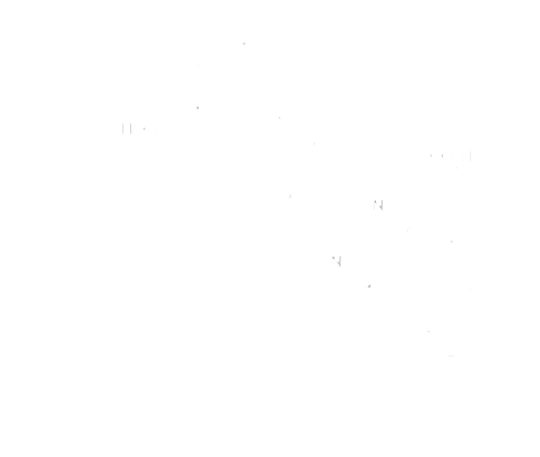 O=C(O)Cn1c(SCc2cccc(C(=O)O)c2)nc2cc(F)ccc21